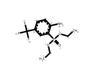 CCOP(=O)(OCC)c1cc(C(F)(F)F)ccc1N